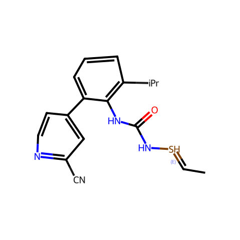 C/C=[SH]/NC(=O)Nc1c(-c2ccnc(C#N)c2)cccc1C(C)C